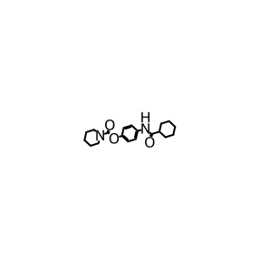 O=C(Nc1ccc(OC(=O)N2CCCCC2)cc1)C1CCCCC1